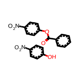 O=C(Oc1ccc([N+](=O)[O-])cc1)c1ccccc1.O=[N+]([O-])c1ccc(O)cc1